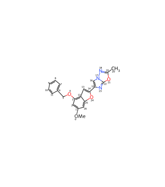 COc1cc(OCc2ccccc2)c2cc(-c3cn4nc(C)oc4n3)oc2c1